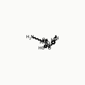 CC1=C[SH](c2ccc(CNC(=O)[C@@H]3C[C@@H](O)CN3C(=O)[C@@H](NC(=O)CCCCCCCN)C(C)(C)C)cc2)C=N1